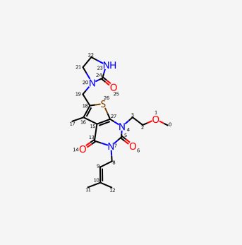 COCCn1c(=O)n(CC=C(C)C)c(=O)c2c(C)c(CN3CCNC3=O)sc21